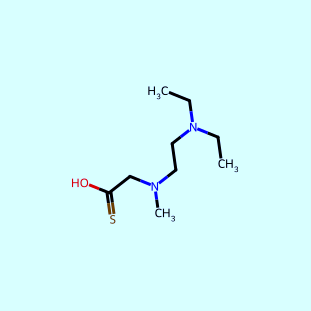 CCN(CC)CCN(C)CC(O)=S